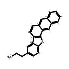 CCCc1ccc2sc3c4cc5ccccc5cc4ccc3c2c1